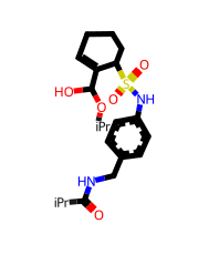 CC(C)OC(O)C1=CCCCC1S(=O)(=O)Nc1ccc(CNC(=O)C(C)C)cc1